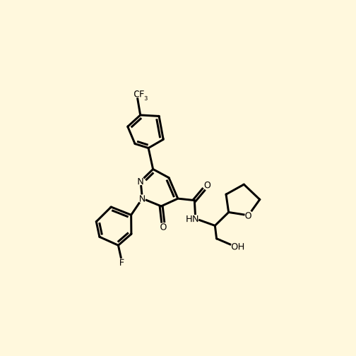 O=C(NC(CO)C1CCCO1)c1cc(-c2ccc(C(F)(F)F)cc2)nn(-c2cccc(F)c2)c1=O